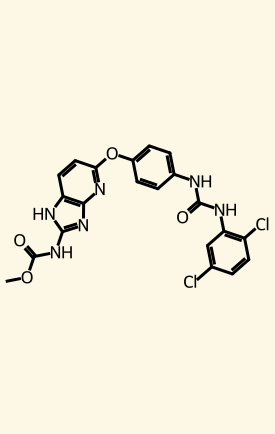 COC(=O)Nc1nc2nc(Oc3ccc(NC(=O)Nc4cc(Cl)ccc4Cl)cc3)ccc2[nH]1